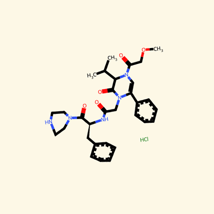 COCC(=O)N1C=C(c2ccccc2)N(CC(=O)N[C@@H](Cc2ccccc2)C(=O)N2CCNCC2)C(=O)C1C(C)C.Cl